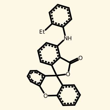 CCc1ccccc1Nc1cccc2c1C(=O)OC21c2ccccc2Oc2ccccc21